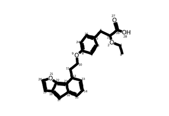 CCOC(Cc1ccc(OCCC2C=CC=C3C=c4ccoc4=C32)cc1)C(=O)O